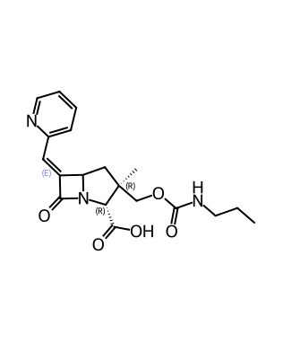 CCCNC(=O)OC[C@]1(C)CC2/C(=C\c3ccccn3)C(=O)N2[C@H]1C(=O)O